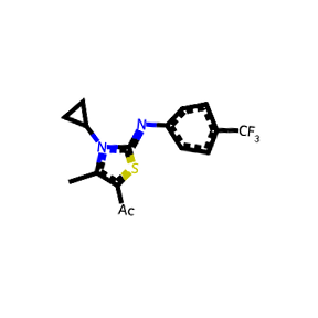 CC(=O)c1s/c(=N\c2ccc(C(F)(F)F)cc2)n(C2CC2)c1C